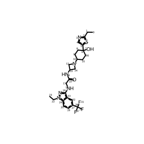 CCc1ncc(C2(O)CCC(N3CC(NC(=O)CNc4nn(CC)c5ccc(C(F)(F)F)cc45)C3)CC2)s1